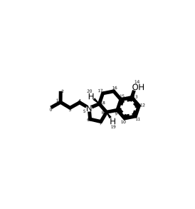 CC(C)CCN1CC[C@H]2c3cccc(O)c3CC[C@H]21